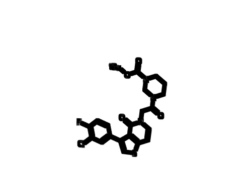 CC(C)(C)OC(=O)N1CCCN(C(=O)Cn2ccc3scc(-c4ccc(F)c(Cl)c4)c3c2=O)C1